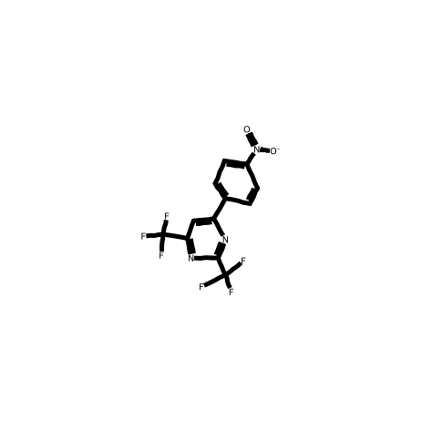 O=[N+]([O-])c1ccc(-c2cc(C(F)(F)F)nc(C(F)(F)F)n2)cc1